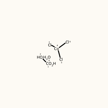 O.O=C(O)O.[Cl][Co]([Cl])[Cl]